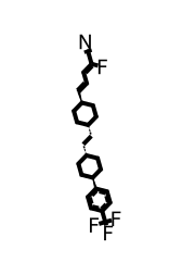 N#C/C(F)=C/C=C/[C@H]1CC[C@H](CC[C@H]2CC[C@H](c3ccc(C(F)(F)F)cc3)CC2)CC1